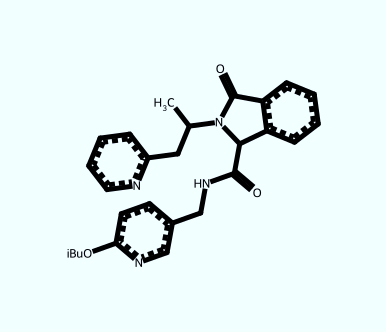 CC(C)COc1ccc(CNC(=O)C2c3ccccc3C(=O)N2C(C)Cc2ccccn2)cn1